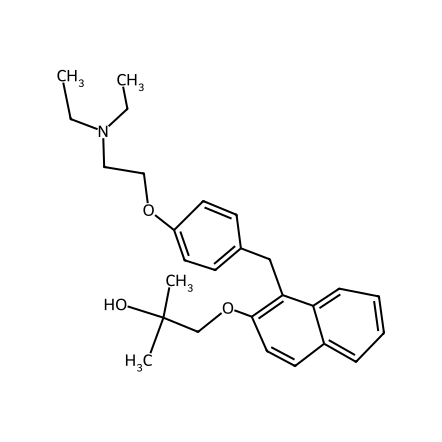 CCN(CC)CCOc1ccc(Cc2c(OCC(C)(C)O)ccc3ccccc23)cc1